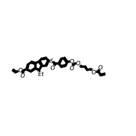 C=COC(=O)c1ccc2c(c1)[C@H](CC)c1cc(SC(=O)c3ccc(OC(=O)OCCCCOC(=O)C=C)cc3)ccc1-2